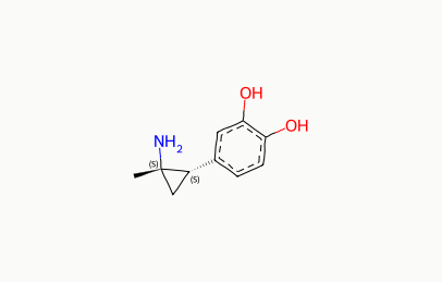 C[C@]1(N)C[C@H]1c1ccc(O)c(O)c1